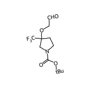 CC(C)(C)OC(=O)N1CCC(OCC=O)(C(F)(F)F)C1